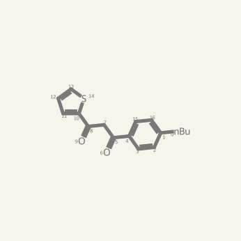 CCCCc1ccc(C(=O)CC(=O)c2cccs2)cc1